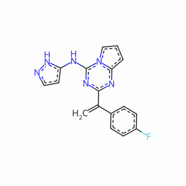 C=C(c1ccc(F)cc1)c1nc(Nc2ccn[nH]2)n2cccc2n1